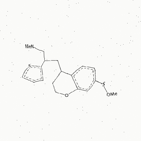 CNCC(CC1CCOc2cc(SOC)ccc21)c1cccs1